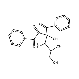 O=C(C(=O)C(O)(C(=O)c1ccccc1)C(O)C(O)CO)c1ccccc1